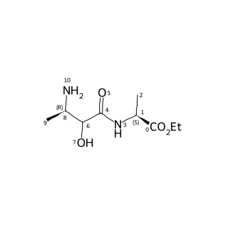 CCOC(=O)[C@H](C)NC(=O)C(O)[C@@H](C)N